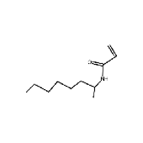 C=CC(=O)NC(C)CCCCCC